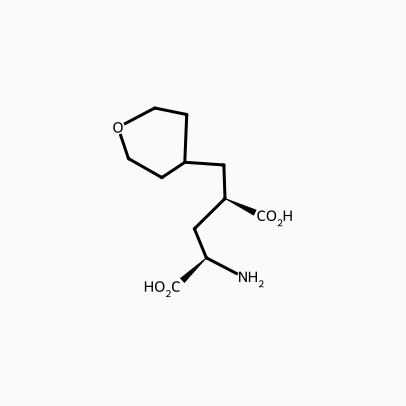 N[C@H](C[C@@H](CC1CCOCC1)C(=O)O)C(=O)O